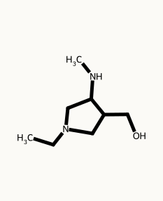 CCN1CC(CO)C(NC)C1